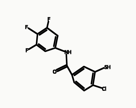 O=C(Nc1cc(F)c(F)c(F)c1)c1ccc(Cl)c(S)c1